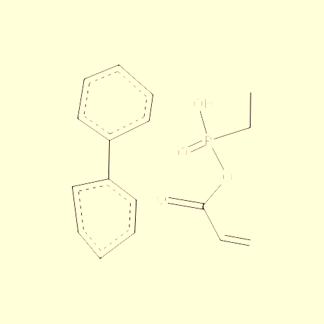 C=CC(=O)OP(=O)(O)CC.c1ccc(-c2ccccc2)cc1